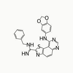 N=C(NCc1ccccc1)c1nc2ccc3ncnc(Nc4ccc5c(c4)OCO5)c3c2s1